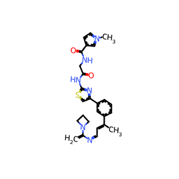 C=C(/N=C\C=C(/C)c1cccc(-c2csc(NC(=O)CNC(=O)c3ccn(C)c3)n2)c1)N1CCC1